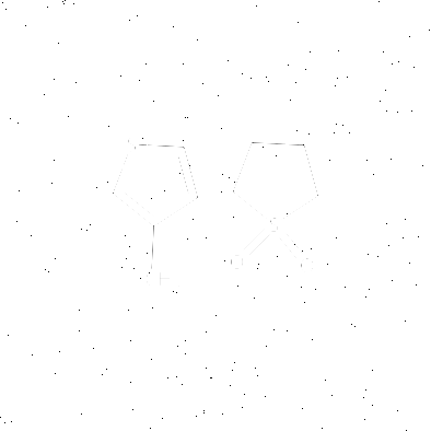 Cc1ccsc1.O=S1(=O)CCCC1